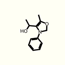 CC1=C(C(C)O)N(c2ccccc2)CO1